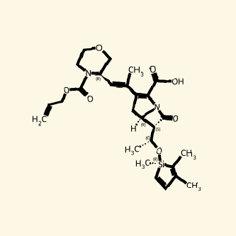 C=CCOC(=O)N1CCOC[C@H]1C=C(C)C1=C(C(=O)O)N2C(=O)[C@H]([C@@H](C)O[Si@]3(C)C=CC(C)=C3C)[C@H]2C1